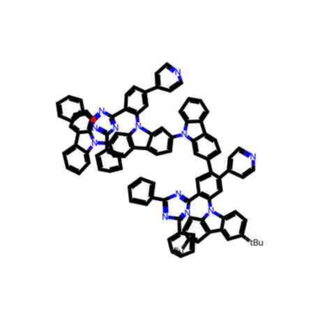 CC(C)(C)c1ccc2c(c1)c1cc(C(C)(C)C)ccc1n2-c1cc(-c2ccncc2)c(-c2ccc3c4ccccc4n(-c4ccc5c6ccc(-n7c8ccccc8c8ccccc87)cc6n(-c6cc(-c7ccncc7)ccc6-c6nc(-c7ccccc7)nc(-c7ccccc7)n6)c5c4)c3c2)cc1-c1nc(-c2ccccc2)nc(-c2ccccc2)n1